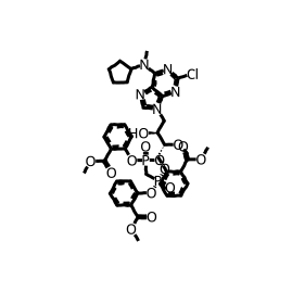 COC(=O)c1ccccc1OP(=O)(CP(=O)(Oc1ccccc1C(=O)OC)Oc1ccccc1C(=O)OC)OC[C@@H](OC)[C@@H](O)Cn1cnc2c(N(C)C3CCCC3)nc(Cl)nc21